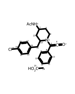 CC(=O)NC1CCN(C(=C=O)c2ccccc2)C(Cc2ccc(Cl)cc2)C1.CC(=O)O